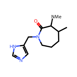 CNC1C(=O)N(Cc2cnc[nH]2)CCCC1C